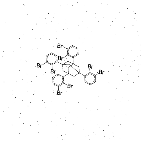 Brc1cccc(C23CC4(c5cccc(Br)c5Br)CC(c5cccc(Br)c5Br)(C2)CC(c2cccc(Br)c2Br)(C3)C4)c1Br